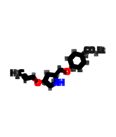 C=CCO[C@@H]1CN[C@H](CO[C@H]2CC[C@H](C(=O)OCC)CC2)C1